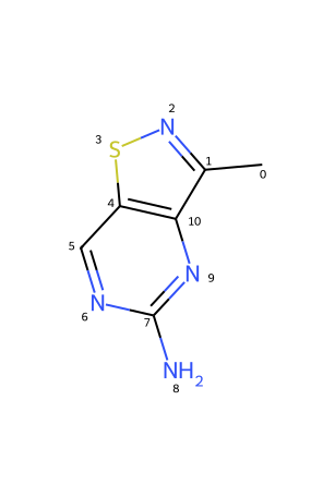 Cc1nsc2cnc(N)nc12